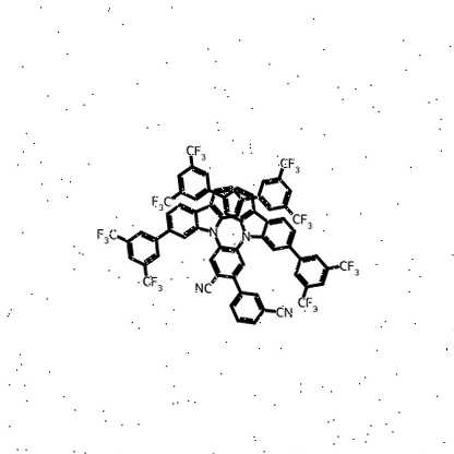 N#Cc1cccc(-c2cc(-n3c4cc(-c5cc(C(F)(F)F)cc(C(F)(F)F)c5)ccc4c4ccc(-c5cc(C(F)(F)F)cc(C(F)(F)F)c5)cc43)c(-n3c4cc(-c5cc(C(F)(F)F)cc(C(F)(F)F)c5)ccc4c4ccc(-c5cc(C(F)(F)F)cc(C(F)(F)F)c5)cc43)cc2C#N)c1